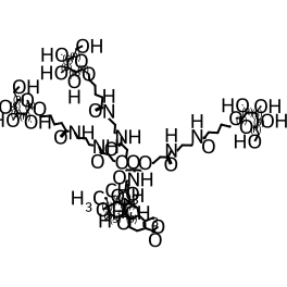 CC(C)[C@]12O[C@H]1[C@@H]1O[C@]13[C@]1(O[C@H]1CC1C4=C(CC[C@@]13C)C(=O)OC4)[C@@H]2OC(=O)C(=O)NC(COCCC(=O)NCCCNC(=O)CCCCO[C@@H]1O[C@H](CO)[C@@H](O)[C@H](O)[C@H]1O)(COCCC(=O)NCCCNC(=O)CCCCO[C@@H]1O[C@H](CO)[C@@H](O)[C@H](O)[C@H]1O)OCCC(=O)NCCCNC(=O)CCCCO[C@@H]1O[C@H](CO)[C@@H](O)[C@H](O)[C@H]1O